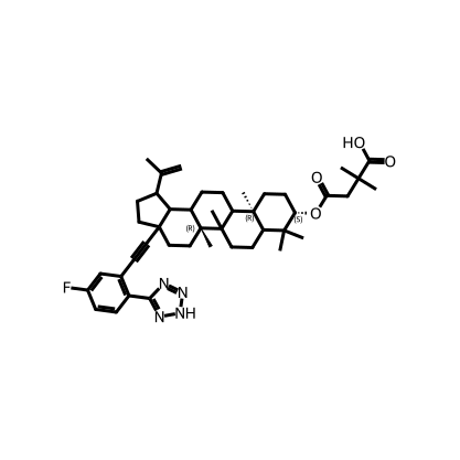 C=C(C)C1CCC2(C#Cc3cc(F)ccc3-c3nn[nH]n3)CC[C@]3(C)C(CCC4C3(C)CCC3C(C)(C)[C@@H](OC(=O)CC(C)(C)C(=O)O)CC[C@@]34C)C12